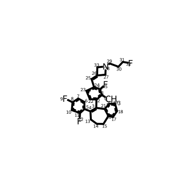 Cc1c(C2=C(c3ccc(F)cc3F)CCCc3ccccc32)ccc(C=C2CN(CCCF)C2)c1F